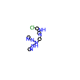 Clc1ccc2[nH]c3c(c2c1)CCN(Cc1ccc(CN(CC/N=C/c2ccccn2)CCNCc2ccccn2)cc1)C3